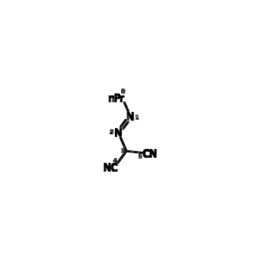 CCCN=NC(C#N)C#N